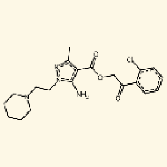 Cc1nn(CCN2CCCCC2)c(N)c1C(=O)OCC(=O)c1ccccc1Cl